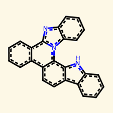 c1ccc2c(c1)nc1c3ccccc3c3ccc4c5ccccc5[nH]c4c3n21